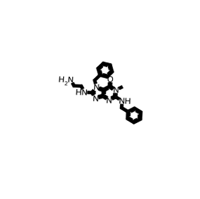 Cn1c(NCc2ccccc2)nc2nc(NCCN)n(Cc3ccccc3)c2c1=O